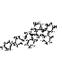 N#Cc1ccc(-c2ccc(-c3ccc(-c4cc5c6ccccc6c6ccccc6c5c5ccccc45)c4ccccc34)cc2)cc1